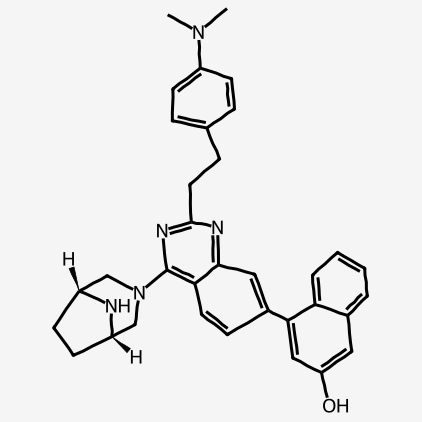 CN(C)c1ccc(CCc2nc(N3C[C@H]4CC[C@@H](C3)N4)c3ccc(-c4cc(O)cc5ccccc45)cc3n2)cc1